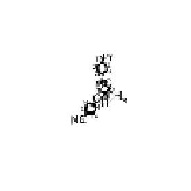 CCC[C@H]1CC[C@H](C2OCC(C)(C(=O)Oc3ccc(C#N)cc3)CO2)CC1